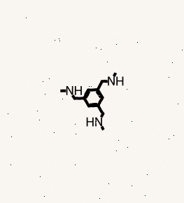 CNCc1cc(CNC)cc(CNC)c1